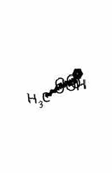 CCCCCCOC(=O)CCC(O)OC(=O)c1ccccc1